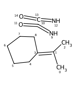 CC(C)=C1CCCCC1.N=C=O.N=C=O